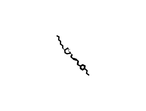 CCCCCCC[C@H]1CC[C@H](C=CC#CC=Cc2ccc(CCC)cc2)CC1